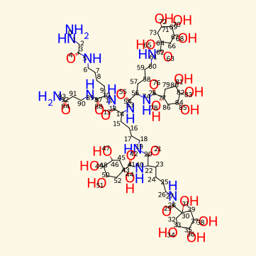 NNCC(=O)NCCCCC(NC(=O)C(CCCCNC(=O)C(CCCCNC(=O)C1(O)CC(O)C(O)C(O)C1)NC(=O)C1(O)CC(O)C(O)C(O)C1)NC(=O)C(CCCCNC(=O)C1(O)CC(O)C(O)C(O)C1)NC(=O)C1(O)CC(O)C(O)C(O)C1)C(=O)NCCC(N)=O